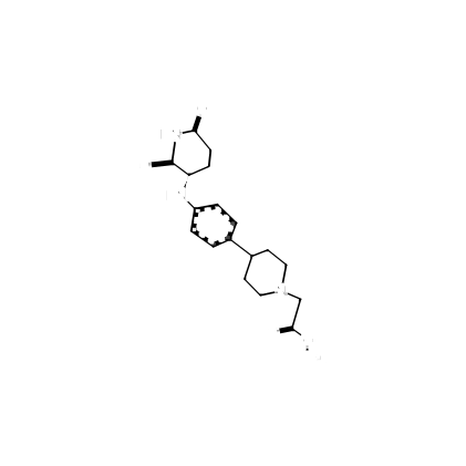 CC(C)(C)OC(=O)CN1CCC(c2ccc(N[C@@H]3CCC(=O)NC3=O)cc2)CC1